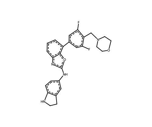 Fc1cc(-c2cccc3nc(Nc4ccc5c(c4)CCN5)oc23)cc(F)c1CN1CCOCC1